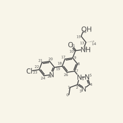 CCc1ncnn1-c1cc(C(=O)N[C@@H](C)CO)cc(-c2ccc(Cl)cn2)c1